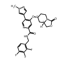 Cn1cc(-c2cnc(C(=O)NCc3ccc(F)c(F)c3F)cc2O[C@H]2CCN3C(=O)OC[C@@H]3C2)cn1